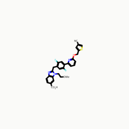 COCCn1c(Cc2cc(F)c(-c3cccc(OCc4cc(C#N)cs4)n3)cc2F)nc2ccc(C(=O)O)cc21